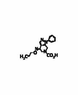 C=CCON=C1CN(C(=O)O)Cc2c1cnn2-c1ccccc1